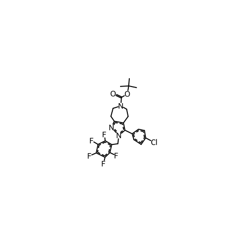 CC(C)(C)OC(=O)N1CCc2nn(Cc3c(F)c(F)c(F)c(F)c3F)c(-c3ccc(Cl)cc3)c2CC1